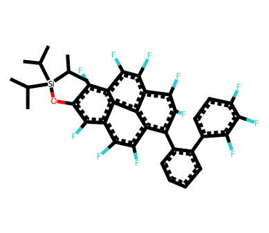 CC(C)[Si](Oc1c(F)c2c(F)c(F)c3c(F)c(F)c(-c4ccccc4-c4ccc(F)c(F)c4F)c4c(F)c(F)c(c1F)c2c34)(C(C)C)C(C)C